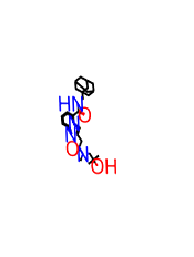 CN(CC(C)(C)O)C(=O)Cc1cn2c(C(=O)NCC34CC5CC(CC(C5)C3)C4)cccc2n1